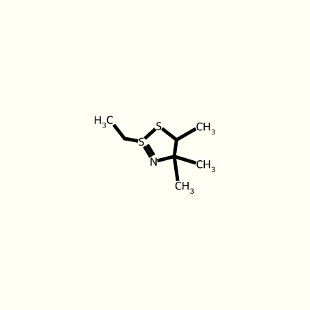 CCS1=NC(C)(C)C(C)S1